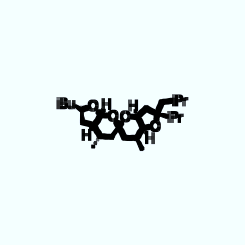 CC[C@H](C)[C@@H]1C[C@@H]2[C@H](O1)O[C@@]1(C[C@@H]2C)C[C@H](C)[C@@H]2O[C@](CC(C)C)(C(C)C)C[C@@H]2O1